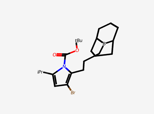 CC(C)c1cc(Br)c(CCCB2C3CCCC2CCC3)n1C(=O)OC(C)(C)C